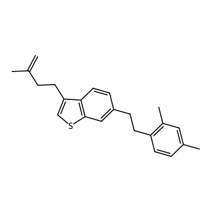 C=C(C)CCc1csc2cc(CCc3ccc(C)cc3C)ccc12